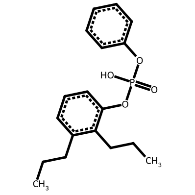 CCCc1cccc(OP(=O)(O)Oc2ccccc2)c1CCC